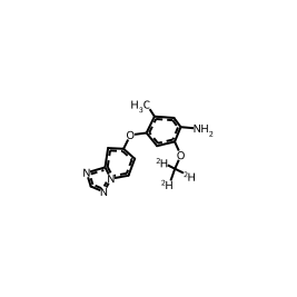 [2H]C([2H])([2H])Oc1cc(Oc2ccn3ncnc3c2)c(C)cc1N